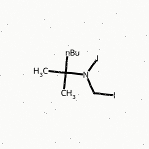 CCCCC(C)(C)N(I)CI